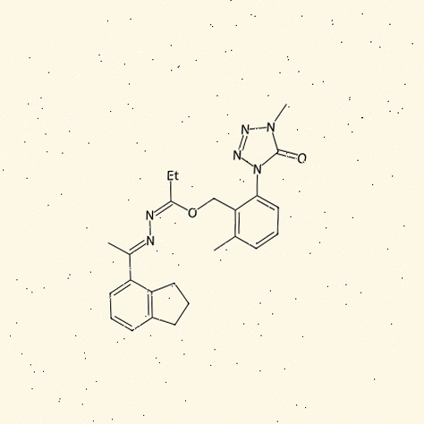 CC/C(=N/N=C(C)c1cccc2c1CCC2)OCc1c(C)cccc1-n1nnn(C)c1=O